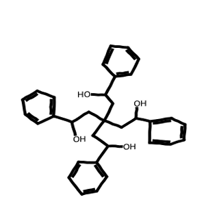 OC(CC(CC(O)c1ccccc1)(CC(O)c1ccccc1)CC(O)c1ccccc1)c1ccccc1